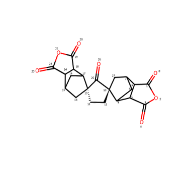 O=C1OC(=O)C2C1C1CC2[C@@]2(CC[C@@]3(CC4CC3C3C(=O)OC(=O)C43)C2=O)C1